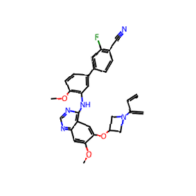 C=CC(=C)N1CC(Oc2cc3c(Nc4cc(-c5ccc(C#N)c(F)c5)ccc4OC)ncnc3cc2OC)C1